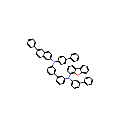 c1ccc(-c2ccc(N(c3cccc(-c4cccc(N(c5cccc(-c6ccccc6)c5)c5cccc6c5oc5ccccc56)c4)c3)c3ccc4cc(-c5ccccc5)ccc4c3)cc2)cc1